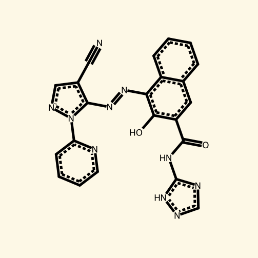 N#Cc1cnn(-c2ccccn2)c1/N=N/c1c(O)c(C(=O)Nc2ncn[nH]2)cc2ccccc12